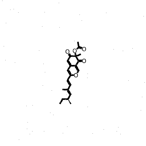 CC[C@H](C)/C=C(C)/C=C/C1=CC2=CC(=O)C(C)(OC(C)=O)C(=O)C2=CO1